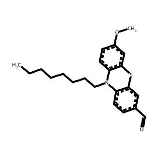 CCCCCCCCN1c2ccc(C=O)cc2Sc2cc(OC)ccc21